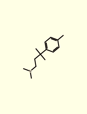 Cc1ccc(C(C)(C)CCN(C)C)cc1